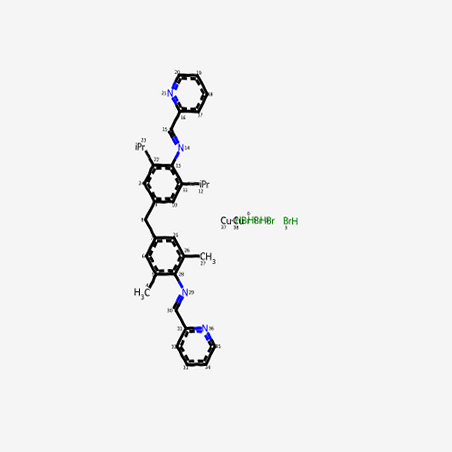 Br.Br.Br.Br.Cc1cc(Cc2cc(C(C)C)c(N=Cc3ccccn3)c(C(C)C)c2)cc(C)c1N=Cc1ccccn1.[Cu].[Cu]